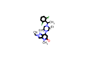 CC[C@H]1CN(C(C)c2c(F)cccc2F)[C@H](CC)CN1c1cc(=O)n(C)c2cn(CC#N)nc12